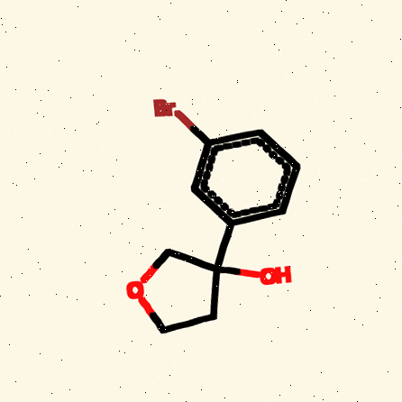 OC1(c2cccc(Br)c2)CCOC1